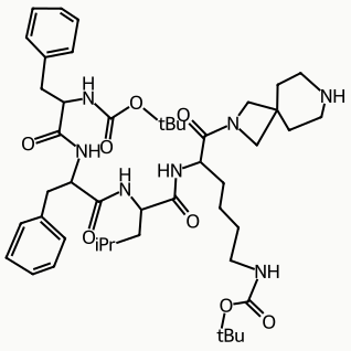 CC(C)CC(NC(=O)C(Cc1ccccc1)NC(=O)C(Cc1ccccc1)NC(=O)OC(C)(C)C)C(=O)NC(CCCCNC(=O)OC(C)(C)C)C(=O)N1CC2(CCNCC2)C1